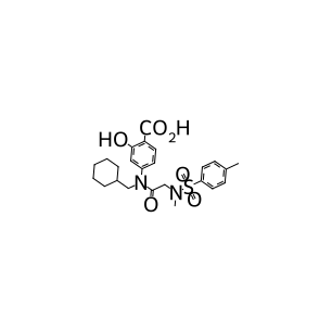 Cc1ccc(S(=O)(=O)N(C)CC(=O)N(CC2CCCCC2)c2ccc(C(=O)O)c(O)c2)cc1